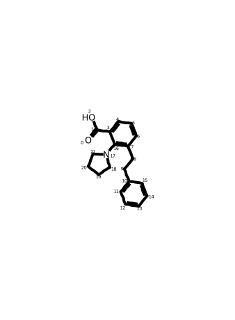 O=C(O)c1cccc(CCc2ccccc2)c1N1CCCC1